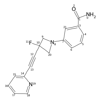 NC(=O)c1cccc(N2CC(F)(C#Cc3ccccn3)C2)c1